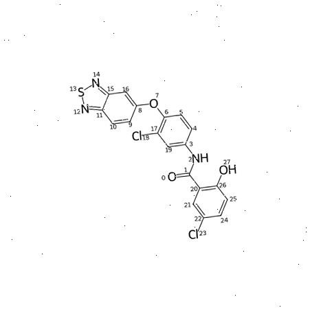 O=C(Nc1ccc(Oc2ccc3nsnc3c2)c(Cl)c1)c1cc(Cl)ccc1O